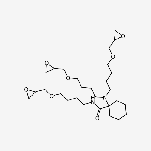 O=C(NCCCCOCC1CO1)C1(N(CCCCOCC2CO2)CCCCOCC2CO2)CCCCC1